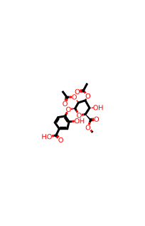 COC(=O)[C@H]1O[C@@H](Oc2ccc(C(=O)O)cc2O)[C@H](OC(C)=O)[C@@H](OC(C)=O)[C@@H]1O